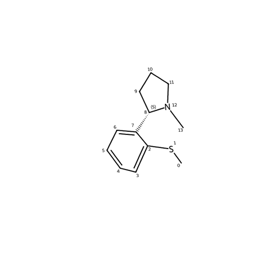 CSc1ccccc1[C@@H]1CCCN1C